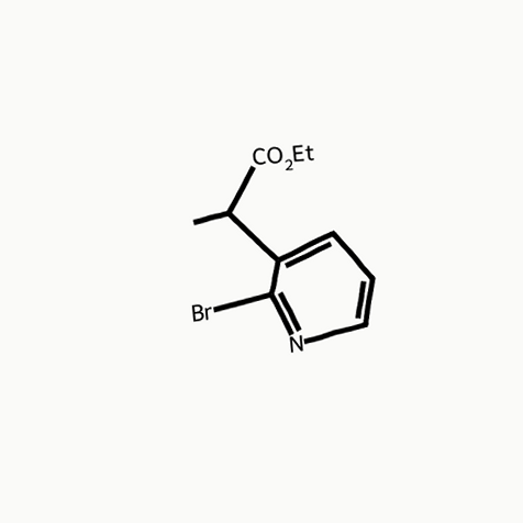 CCOC(=O)C(C)c1cccnc1Br